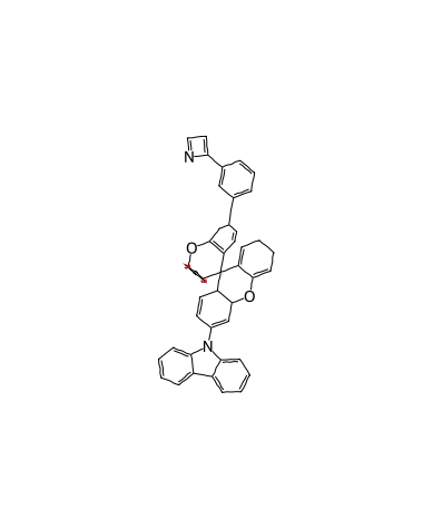 C1=CC2C(C=C1n1c3ccccc3c3ccccc31)OC1=CCCC=C1C21C2=C(CC(c3cccc(C4=CC=N4)c3)C=C2)Oc2ccccc21